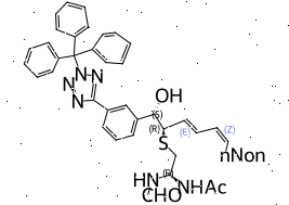 CCCCCCCCC/C=C\C=C\[C@@H](SC[C@H](NC=O)NC(C)=O)[C@@H](O)c1cccc(-c2nnn(C(c3ccccc3)(c3ccccc3)c3ccccc3)n2)c1